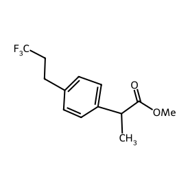 COC(=O)C(C)c1ccc(CCC(F)(F)F)cc1